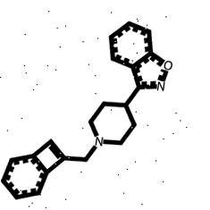 C1=C(CN2CCC(c3noc4ccccc34)CC2)c2ccccc21